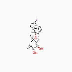 C[C@H]1C[C@@]23CCC4(O2)C(=CC[C@]2(C)C(I)=CC[C@@H]42)C=C3[C@@H](O)[C@@H]1O